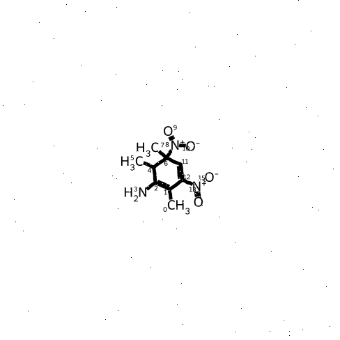 CC1=C(N)C(C)C(C)([N+](=O)[O-])C=C1[N+](=O)[O-]